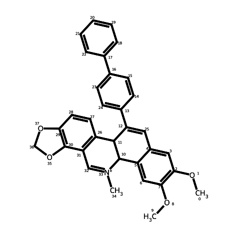 COc1cc2c(cc1OC)C1C(C(c3ccc(-c4ccccc4)cc3)=C2)c2ccc3c(c2C=[N+]1C)OCO3